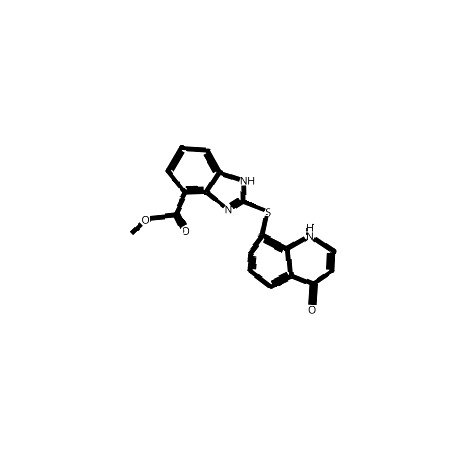 COC(=O)c1cccc2[nH]c(Sc3cccc4c(=O)cc[nH]c34)nc12